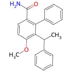 COc1ccc(C(N)=O)c(-c2ccccc2)c1C(C)c1ccccc1